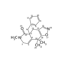 CN1CC=C2C(Cc3ccccc3)(Cc3cnoc3C2(C)C)C1=O